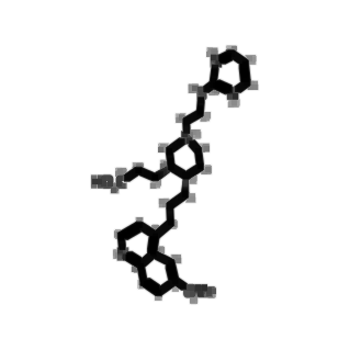 COc1ccc2nccc(CCC[C@@H]3CCN(CCSc4ncccn4)C[C@@H]3CCC(=O)O)c2c1